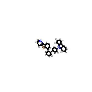 c1ccc(-c2cccc3c2sc2cccnc23)c(-c2ccc(-n3c4ccccc4c4ccccc43)cc2)c1